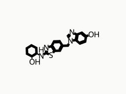 Oc1ccc2c(c1)ncn2Cc1ccc2nc(N[C@@H]3CCCC[C@H]3O)sc2c1